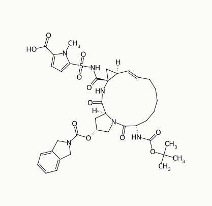 Cn1c(C(=O)O)ccc1S(=O)(=O)NC(=O)[C@@]12C[C@H]1/C=C/CCCCC[C@H](NC(=O)OC(C)(C)C)C(=O)N1C[C@H](OC(=O)N3Cc4ccccc4C3)C[C@H]1C(=O)N2